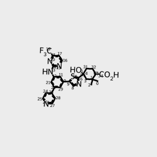 CC1(C)C[C@](O)(c2ncc(-c3cc(Nc4nccc(C(F)(F)F)n4)cc(-c4ccncc4)c3)s2)CC[C@H]1C(=O)O